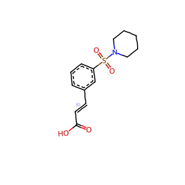 O=C(O)/C=C/c1cccc(S(=O)(=O)N2CCCCC2)c1